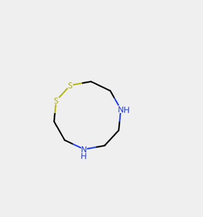 C1CNCCSSCCN1